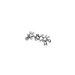 CC1(C)C(=O)Nc2cc3oc(-c4ccc[n+]([O-])c4)nc3cc21